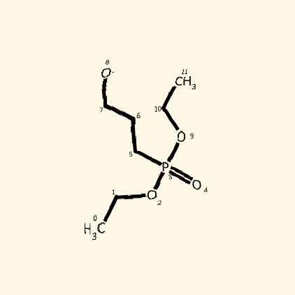 CCOP(=O)(CCC[O])OCC